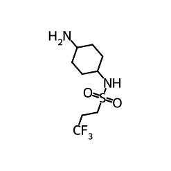 NC1CCC(NS(=O)(=O)CCC(F)(F)F)CC1